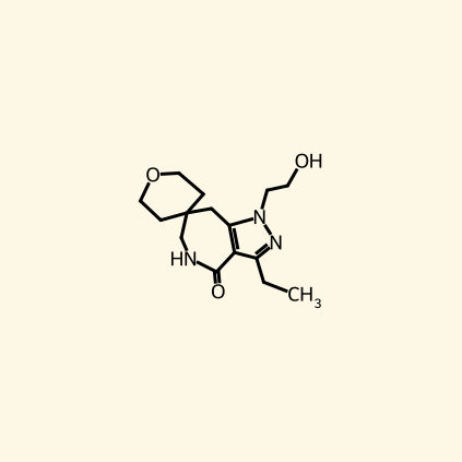 CCc1nn(CCO)c2c1C(=O)NCC1(CCOCC1)C2